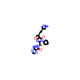 C[C@@H](NC(=O)c1nccnc1N)c1nc2occ(C#Cc3cnn(C)c3)c2c(=O)n1-c1ccccc1